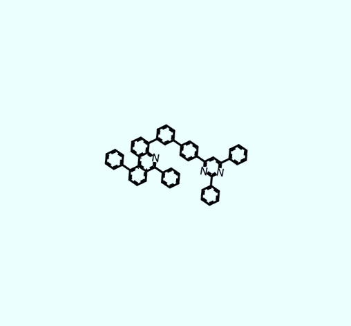 c1ccc(-c2cc(-c3ccc(-c4cccc(-c5cccc6c5nc(-c5ccccc5)c5cccc(-c7ccccc7)c56)c4)cc3)nc(-c3ccccc3)n2)cc1